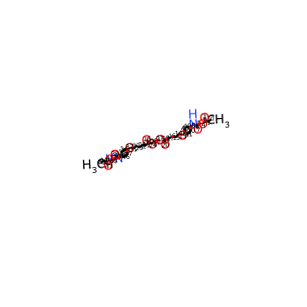 CCC(=O)OCC(=O)Nc1ccc(OCCCCCC(=O)OCCOC(=O)CCCCCOc2ccc(NC(=O)COC(=O)CC)cc2)cc1